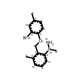 Cc1ccc(OCc2c(C)cccc2N(C)N)c(Br)c1